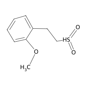 COc1ccccc1CC[SH](=O)=O